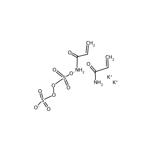 C=CC(N)=O.C=CC(N)=O.O=S(=O)([O-])OOS(=O)(=O)[O-].[K+].[K+]